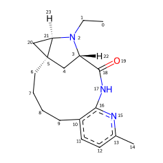 CCN1[C@H]2C[C@@]3(CCCCc4ccc(C)nc4NC2=O)C[C@@H]13